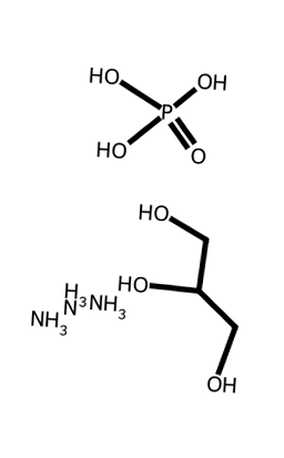 N.N.N.O=P(O)(O)O.OCC(O)CO